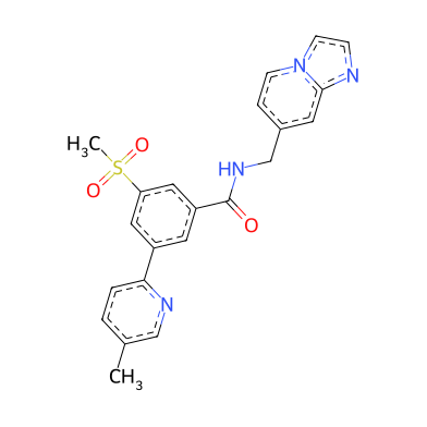 Cc1ccc(-c2cc(C(=O)NCc3ccn4ccnc4c3)cc(S(C)(=O)=O)c2)nc1